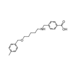 Cc1ccc(COCCCCCNCc2ccc(C(=O)O)cc2)cc1